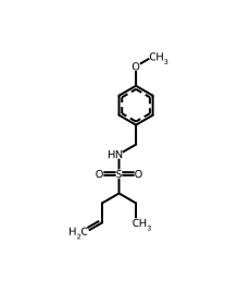 C=CCC(CC)S(=O)(=O)NCc1ccc(OC)cc1